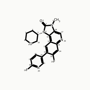 Cn1c(=O)n([C@H]2CCCOC2)c2c3cc(-c4ccc(F)nc4)c(F)cc3ncc21